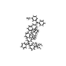 Cc1cccc(N(c2ccccc2)c2ccc3c4c(ccc3c2)-c2ccc3cc(N(c5ccccc5)c5cccc([Si](C)(C)C)c5)ccc3c2C42c3ccccc3-c3ccccc32)c1